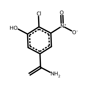 C=C(N)c1cc(O)c(Cl)c([N+](=O)[O-])c1